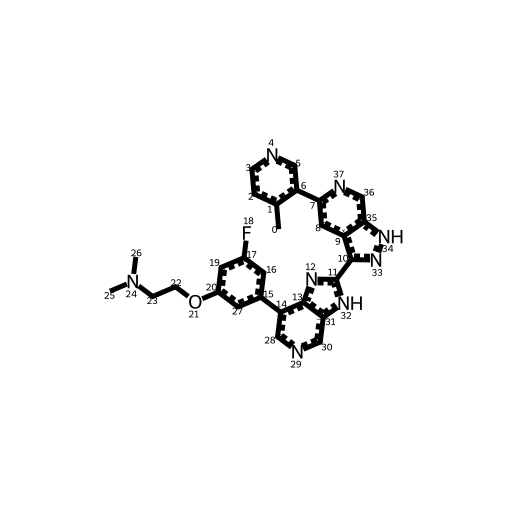 Cc1ccncc1-c1cc2c(-c3nc4c(-c5cc(F)cc(OCCN(C)C)c5)cncc4[nH]3)n[nH]c2cn1